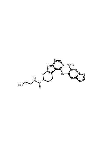 COc1cn2nccc2cc1Nc1ncnc2sc3c(c12)CC[C@H](C(=O)NCCO)C3